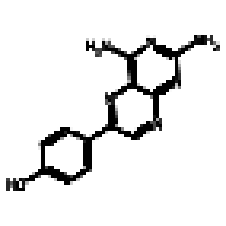 Nc1nc(N)c2nc(-c3ccc(O)cc3)cnc2n1